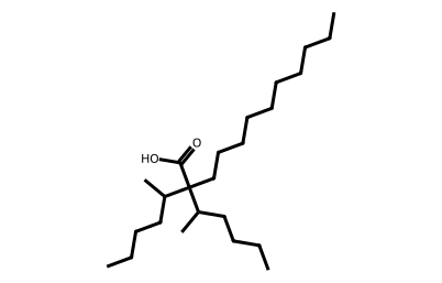 CCCCCCCCCCC(C(=O)O)(C(C)CCCC)C(C)CCCC